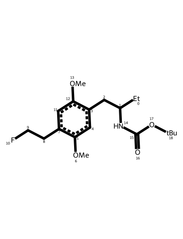 CCC(Cc1cc(OC)c(CCF)cc1OC)NC(=O)OC(C)(C)C